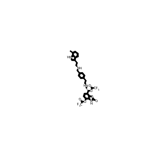 Cc1cccc2c(CCNCc3ccc(CCNC[C@H](OC(=O)C(F)(F)F)c4ccc(OC(=O)C(F)(F)F)c5[nH]c(=O)sc45)cc3)c[nH]c12